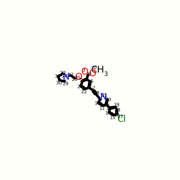 COC(=O)c1cc(C#Cc2ccc(-c3ccc(Cl)cc3)cn2)ccc1OCCN1CCCC1